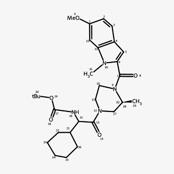 COc1ccc2cc(C(=O)N3CCN(C(=O)C(NC(=O)OC(C)(C)C)C4CCCCC4)C[C@@H]3C)n(C)c2c1